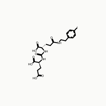 O=C(O)CC[C@H](NC(=O)N[C@@H](CCC(=O)NCCc1ccc(I)cc1)C(=O)O)C(=O)O